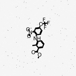 COC(=O)c1cccc(Nc2ccc(OC(F)(F)F)cc2[N+](=O)[O-])c1C